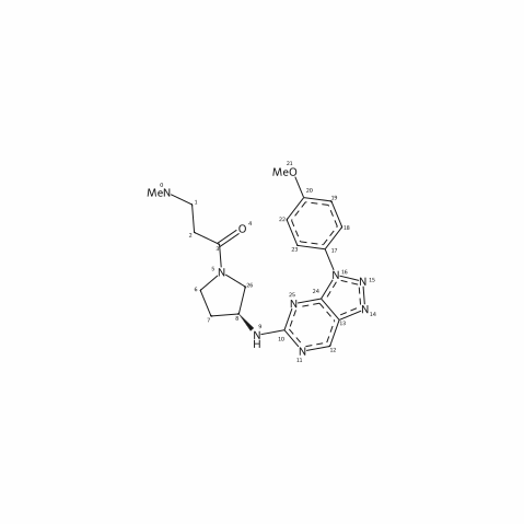 CNCCC(=O)N1CC[C@H](Nc2ncc3nnn(-c4ccc(OC)cc4)c3n2)C1